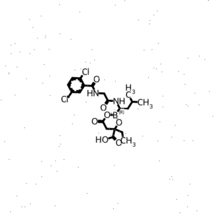 CCC1(C(=O)O)CC(=O)OB([C@H](CC(C)C)NC(=O)CNC(=O)c2cc(Cl)ccc2Cl)O1